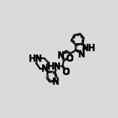 O=C(Nc1cnccc1N1CCNCC1)c1ncc(-c2n[nH]c3ccccc23)o1